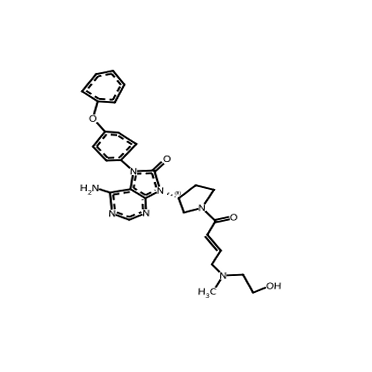 CN(CC=CC(=O)N1CC[C@@H](n2c(=O)n(-c3ccc(Oc4ccccc4)cc3)c3c(N)ncnc32)C1)CCO